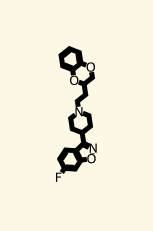 Fc1ccc2c(C3CCN(CCC4COc5ccccc5O4)CC3)noc2c1